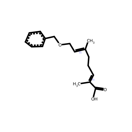 C/C(=C\COCc1ccccc1)CC/C=C(\C)C(=O)O